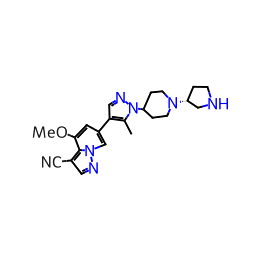 COc1cc(-c2cnn(C3CCN([C@@H]4CCNC4)CC3)c2C)cn2ncc(C#N)c12